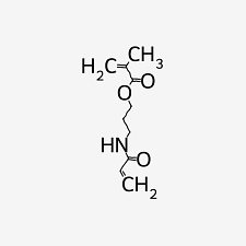 C=CC(=O)NCCCOC(=O)C(=C)C